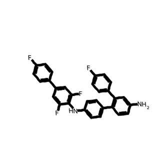 Nc1ccc(-c2ccc(Nc3c(F)cc(-c4ccc(F)cc4)cc3F)cc2)c(-c2ccc(F)cc2)c1